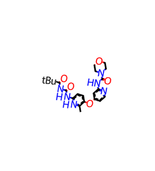 Cc1nc(NC(=O)NC(=O)C(C)(C)C)ccc1Oc1ccnc(NC(=O)N2CCOCC2)c1